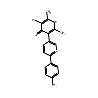 Cc1[nH]c(C)c(-c2ccc(-c3ccc(C(F)(F)F)cc3)nc2)c(=O)c1Br